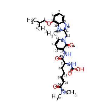 CC(C)COc1cccc2nc(Cn3cccc(NC(=O)C(CCC=CC(=O)N(C)C)NC(=O)O)c3=O)n(C)c12